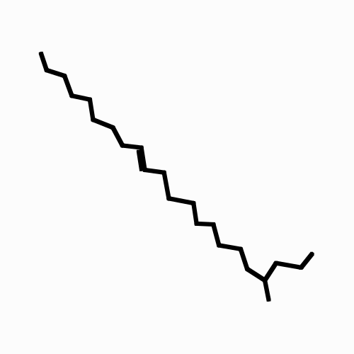 CCCCCCCC/C=C/CCCCCCCCC(C)CCC